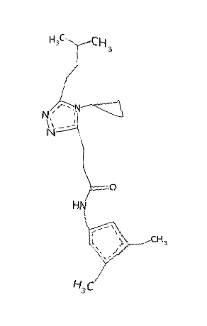 Cc1cc(C)cc(NC(=O)CCc2nnc(CCC(C)C)n2C2CC2)c1